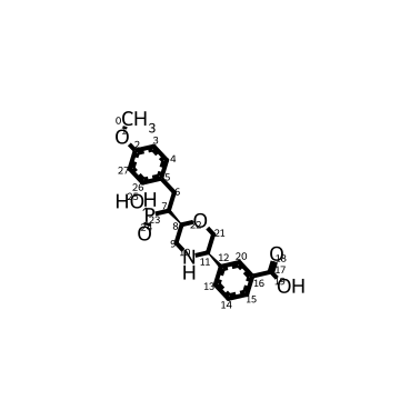 COc1ccc(CC([C@@H]2CN[C@H](c3cccc(C(=O)O)c3)CO2)[PH](=O)O)cc1